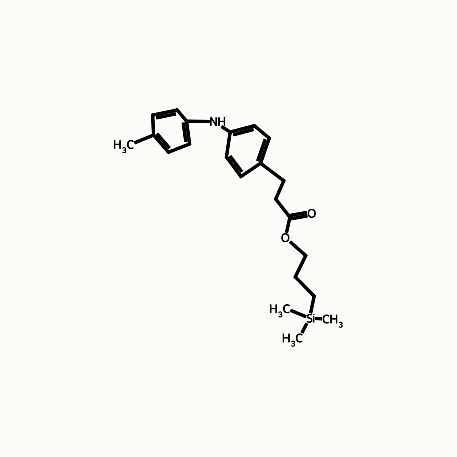 Cc1ccc(Nc2ccc(CCC(=O)OCCC[Si](C)(C)C)cc2)cc1